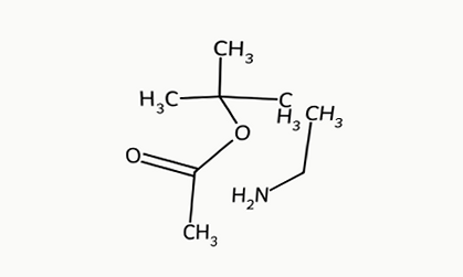 CC(=O)OC(C)(C)C.CCN